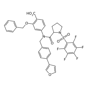 O=C(O)c1ccc(N(Cc2ccc(-c3ccoc3)cc2)C(=O)C2CCCN2S(=O)(=O)c2c(F)c(F)c(F)c(F)c2F)cc1OCc1ccccc1